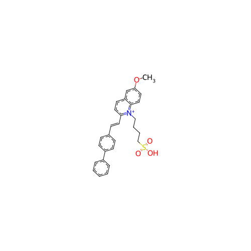 COc1ccc2c(ccc(/C=C/c3ccc(-c4ccccc4)cc3)[n+]2CCCCS(=O)(=O)O)c1